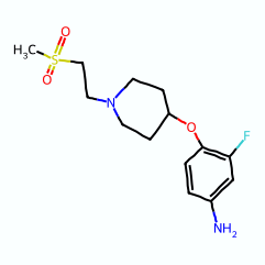 CS(=O)(=O)CCN1CCC(Oc2ccc(N)cc2F)CC1